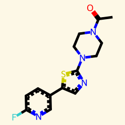 CC(=O)N1CCN(c2ncc(-c3ccc(F)nc3)s2)CC1